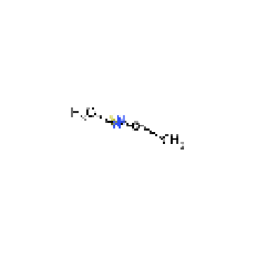 CCCCCCCCCc1ccc(CCc2cn3cc(CCCCCCC)sc3n2)cc1